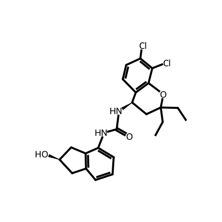 CCC1(CC)C[C@@H](NC(=O)Nc2cccc3c2C[C@H](O)C3)c2ccc(Cl)c(Cl)c2O1